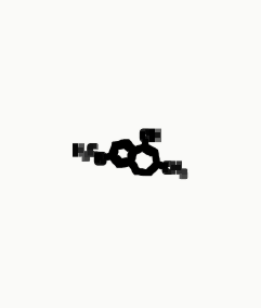 COc1ccc2c(c1)CCC(C)C=C2O